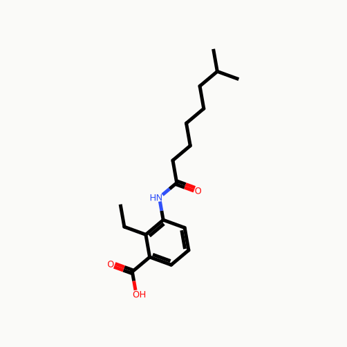 CCc1c(NC(=O)CCCCCC(C)C)cccc1C(=O)O